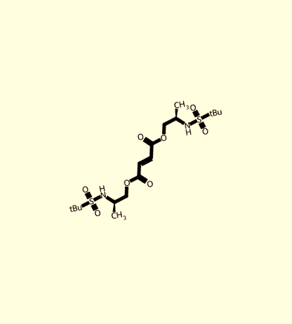 C[C@H](COC(=O)/C=C/C(=O)OC[C@@H](C)NS(=O)(=O)C(C)(C)C)NS(=O)(=O)C(C)(C)C